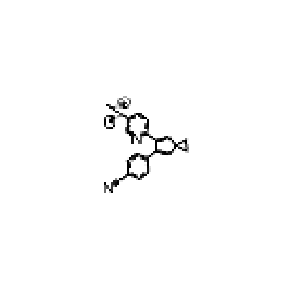 CS(=O)(=O)c1ccc(C2=CC3(C=C2c2ccc(C#N)cc2)CC3)nc1